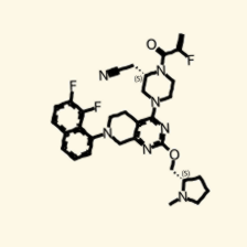 C=C(F)C(=O)N1CCN(c2nc(OC[C@@H]3CCCN3C)nc3c2CCN(c2cccc4ccc(F)c(F)c24)C3)C[C@@H]1CC#N